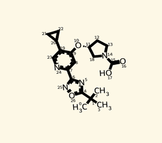 CC(C)(C)c1nc(-c2cc(O[C@@H]3CCN(C(=O)O)C3)c(C3CC3)cn2)no1